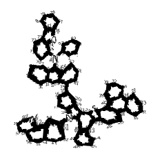 c1ccc(N(c2c3ccccc3cc3c(-c4ccc5c(c4)c4c6sc7c(ccc8c9ccccc9c9ccccc9c87)c6c6ccccc6c4n5-c4ccc5ccc6cccnc6c5c4)cccc23)c2cccc3c2oc2ccccc23)cc1